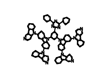 c1ccc(-c2nc(-c3ccccc3)nc(-c3cc(-n4c5ccc(-n6c7ccccc7c7cnccc76)cc5c5cc(-n6c7ccccc7c7cnccc76)ccc54)cc(-n4c5ccc(-n6c7ccccc7c7cnccc76)cc5c5cc(-n6c7ccccc7c7cnccc76)ccc54)c3)n2)cc1